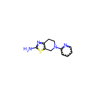 Nc1nc2c(s1)CN(c1ccccn1)CC2